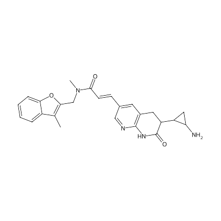 Cc1c(CN(C)C(=O)/C=C/c2cnc3c(c2)CC(C2CC2N)C(=O)N3)oc2ccccc12